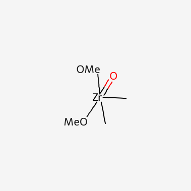 C[O][Zr]([CH3])([CH3])(=[O])[O]C